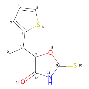 CC(c1cccs1)C1OC(=S)NC1=O